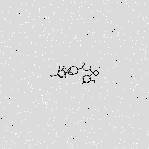 C[C@H]1CC2CN(C(=O)CNC3(c4ccc(F)cc4F)CCC3)CC1N2c1ccc(C#N)cn1